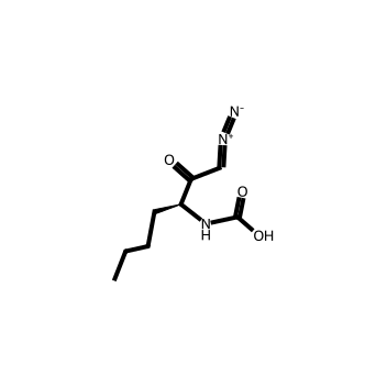 CCCC[C@H](NC(=O)O)C(=O)C=[N+]=[N-]